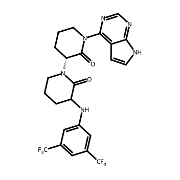 O=C1[C@H](N2CCCC(Nc3cc(C(F)(F)F)cc(C(F)(F)F)c3)C2=O)CCCN1c1ncnc2[nH]ccc12